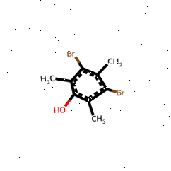 [CH2]c1c(Br)c(C)c(O)c(C)c1Br